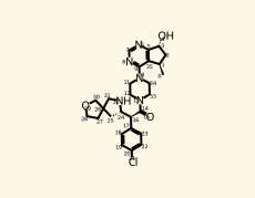 C[C@@H]1C[C@@H](O)c2ncnc(N3CCN(C(=O)[C@@H](c4ccc(Cl)cc4)[C@@H]4CC5(CCOC5)CN4)CC3)c21